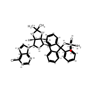 CC1(C)O[C@@H]2[C@H](O1)[C@@H](Cc1ccccc1C(OS(N)(=O)=O)(c1ccccc1)c1ccccc1)O[C@H]2n1cnc2c(Cl)ncnc21